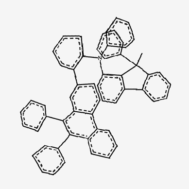 CC1(c2ccccc2)c2ccccc2-c2cccc(N(c3ccccc3)c3ccccc3-c3ccc4c(c3)c(-c3ccccc3)c(-c3ccccc3)c3ccccc34)c21